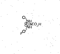 O=C(NCCc1ccccc1)C1CN(C(=O)O)CC1C(=O)NCCc1ccc(F)cc1